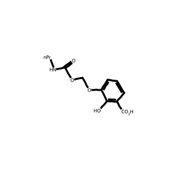 CCCNC(=O)OCOc1cccc(C(=O)O)c1O